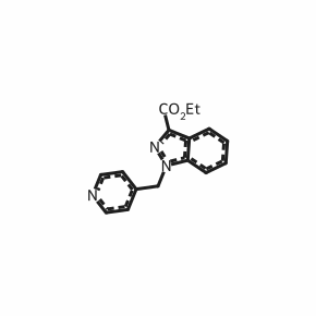 CCOC(=O)c1nn(Cc2ccncc2)c2ccccc12